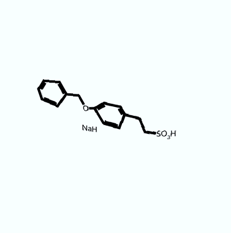 O=S(=O)(O)CCc1ccc(OCc2ccccc2)cc1.[NaH]